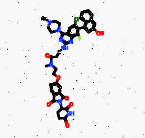 CC(=O)N1CCN(c2nc(NCCC(=O)N(C)CCOc3ccc4c(c3)C(=O)N(C3CCC(=O)NC3=O)C4=O)nc3c(F)c(-c4cc(O)cc5ccccc45)c(Cl)cc23)CC1